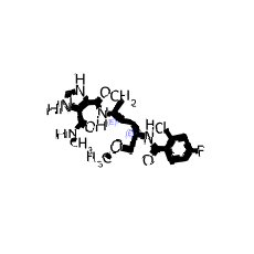 C=C/C(=C\C=C(/COC)NC(=O)c1ccc(F)cc1Cl)NC(=O)C1=C(C(=O)NC)NCN1